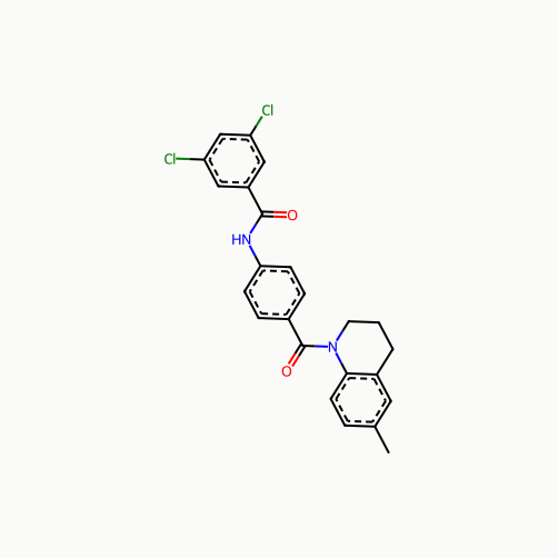 Cc1ccc2c(c1)CCCN2C(=O)c1ccc(NC(=O)c2cc(Cl)cc(Cl)c2)cc1